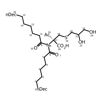 CCCCCCCCCCCCCCCC(=O)N(C(=O)CCCCCCCCCCCCCCC)[C@](CSCC(O)CO)(C(C)=O)C(=O)O